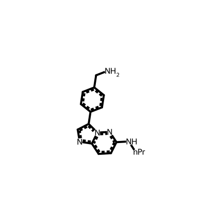 CCCNc1ccc2ncc(-c3ccc(CN)cc3)n2n1